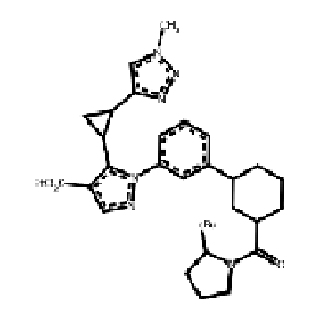 CCCCC1CCCN1C(=O)C1CCCC(c2cccc(-n3ncc(C(=O)OCC)c3C3CC3c3cn(C)nn3)c2)C1